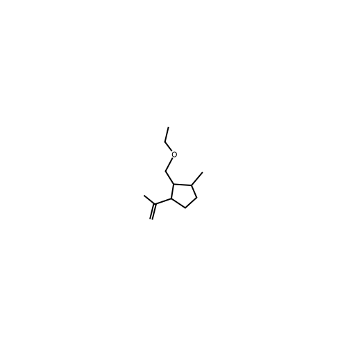 C=C(C)C1CCC(C)C1COCC